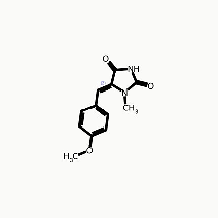 COc1ccc(/C=C2/C(=O)NC(=O)N2C)cc1